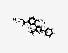 C=C(CC)c1ccc(C)c(-c2[nH]c(C3CCCCC3)nc2C(F)(F)F)c1